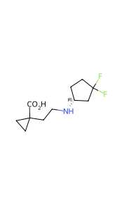 O=C(O)C1(CCN[C@@H]2CCC(F)(F)C2)CC1